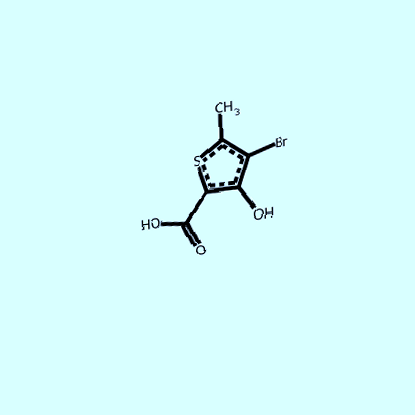 Cc1sc(C(=O)O)c(O)c1Br